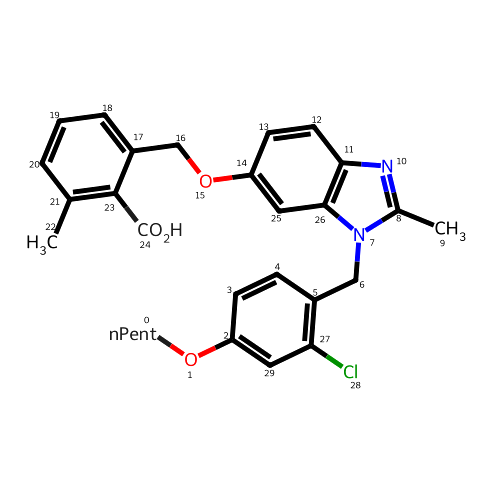 CCCCCOc1ccc(Cn2c(C)nc3ccc(OCc4cccc(C)c4C(=O)O)cc32)c(Cl)c1